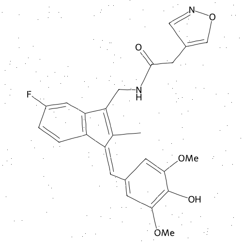 COc1cc(C=C2C(C)=C(CNC(=O)Cc3cnoc3)c3cc(F)ccc32)cc(OC)c1O